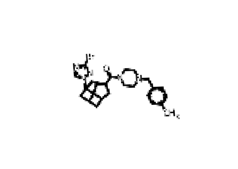 Cc1ccc(CN2CCN(C(=O)C34CC5CC6CC(n7cnc(Br)n7)(C3)C56C4)CC2)cc1